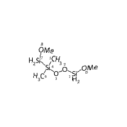 CO[SiH2]OO[Si](C)(C)[SiH2]OC